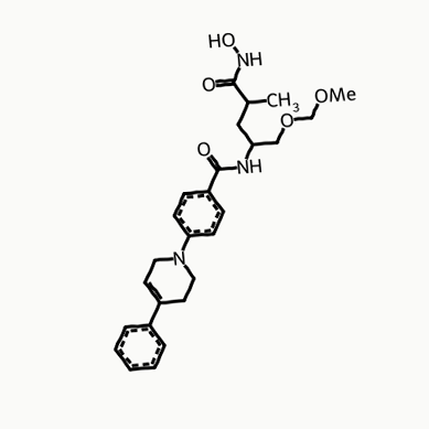 COCOCC(CC(C)C(=O)NO)NC(=O)c1ccc(N2CC=C(c3ccccc3)CC2)cc1